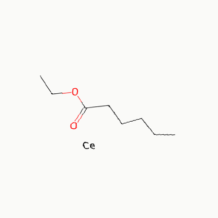 CCCCCC(=O)OCC.[Ce]